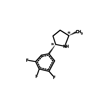 C[C@H]1CC[C@@H](c2cc(F)c(F)c(F)c2)N1